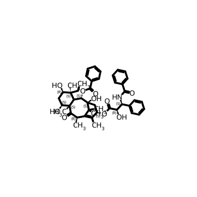 CC[C@@]1(C)C2[C@H](OC(=O)c3ccccc3)[C@]3(O)C[C@H](OC(=O)[C@H](O)[C@@H](NC(=O)c4ccccc4)c4ccccc4)C(C)=C([C@@H](C)C(=O)[C@]2(C)[C@@H](O)C[C@H]1O)C3(C)C